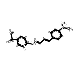 CN(C)c1ccc(/C=C/C=N/Nc2ccc(C(=O)O)cn2)cc1